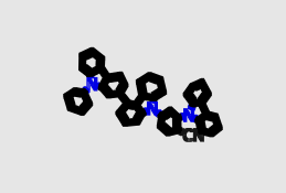 N#Cc1ccc(-n2c3ccccc3c3c(-c4ccc5c6ccccc6n(-c6ccccc6)c5c4)cccc32)cc1-n1c2ccccc2c2ccccc21